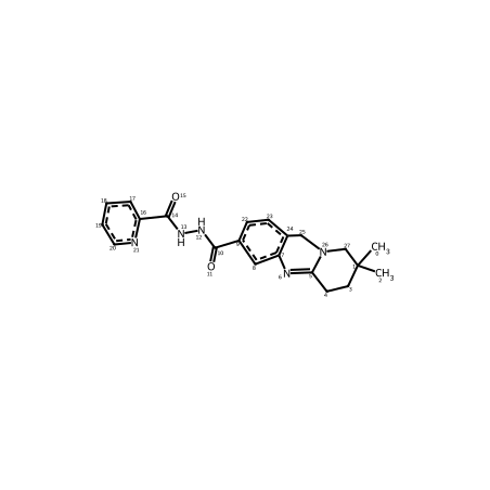 CC1(C)CCC2=Nc3cc(C(=O)NNC(=O)c4ccccn4)ccc3CN2C1